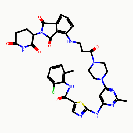 Cc1nc(Nc2ncc(C(=O)Nc3c(C)cccc3Cl)s2)cc(N2CCN(C(=O)CCNc3cccc4c3C(=O)N(C3CCC(=O)NC3=O)C4=O)CC2)n1